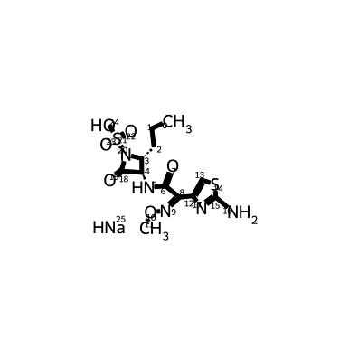 CCC[C@@H]1[C@H](NC(=O)C(=NOC)c2csc(N)n2)C(=O)N1S(=O)(=O)O.[NaH]